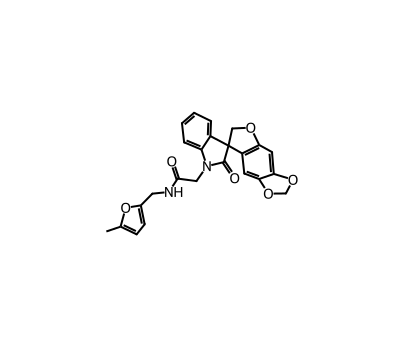 Cc1ccc(CNC(=O)CN2C(=O)C3(COc4cc5c(cc43)OCO5)c3ccccc32)o1